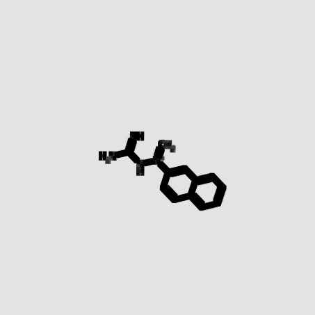 C=[N+](NC(=N)N)c1ccc2ccccc2c1